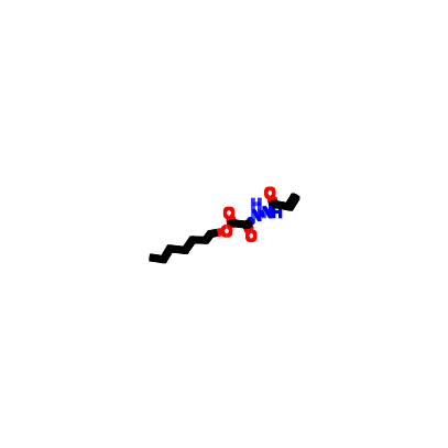 C=CC(=O)NNC(=O)C(=O)OCCCCCCC